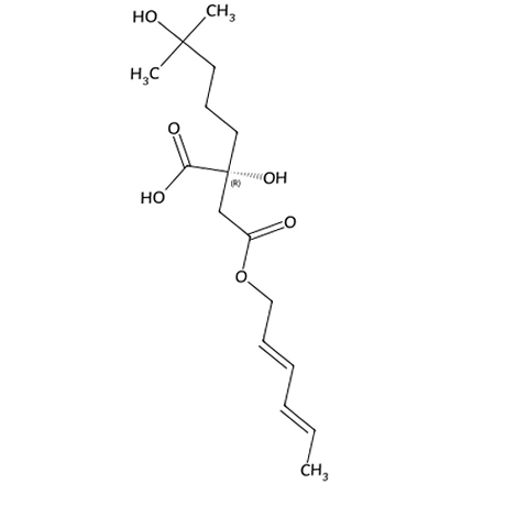 CC=CC=CCOC(=O)C[C@](O)(CCCC(C)(C)O)C(=O)O